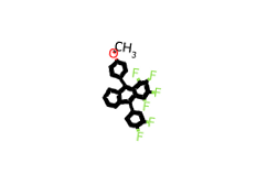 COc1ccc(-c2c3ccccc3c(-c3ccc(F)c(F)c3)c3c(F)c(F)c(F)c(F)c23)cc1